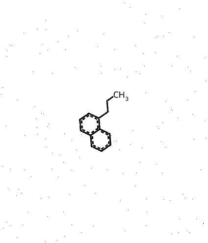 CCCc1cccc2ccccc12